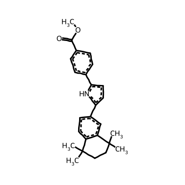 COC(=O)c1ccc(-c2ccc(-c3ccc4c(c3)C(C)(C)CCC4(C)C)[nH]2)cc1